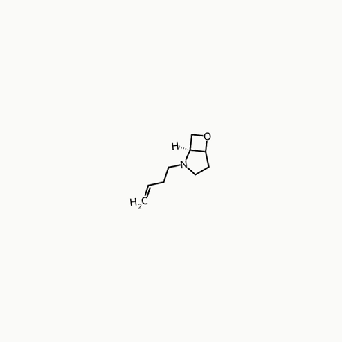 C=CCCN1CCC2OC[C@@H]21